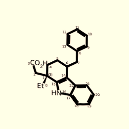 CC[C@@]1(CC(=O)O)CCC(Cc2ccccc2)c2c1[nH]c1ccccc21